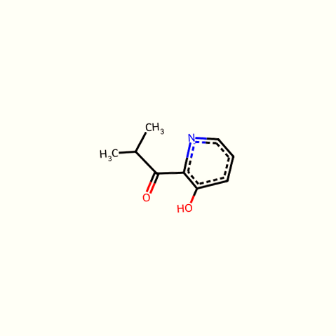 CC(C)C(=O)c1ncccc1O